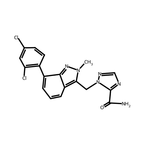 Cn1nc2c(-c3ccc(Cl)cc3Cl)cccc2c1Cn1ncnc1C(N)=O